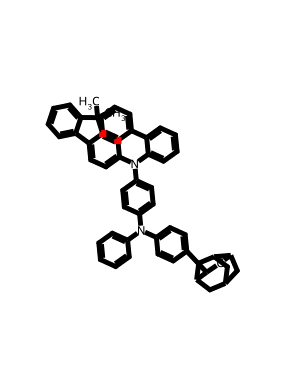 CC1(C)c2ccccc2-c2ccc(N(c3ccc(N(c4ccccc4)c4ccc(C5CC6CC7CC6CC5C7)cc4)cc3)c3ccccc3-c3ccccc3)cc21